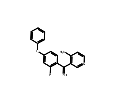 N=C(c1cnccc1N)c1ccc(Oc2ccccc2)cc1F